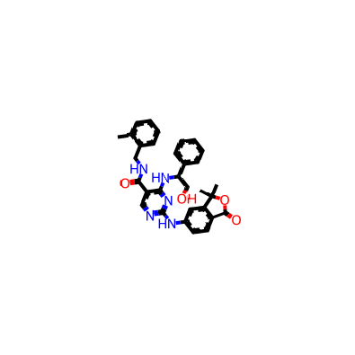 Cc1ccccc1CNC(=O)c1cnc(Nc2ccc3c(c2)C(C)(C)OC3=O)nc1NC(CO)c1ccccc1